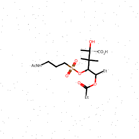 CCC(=O)OC(CC)C(OS(=O)(=O)CCCNC(C)=O)C(C)(C)[C@@](C)(O)C(=O)O